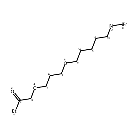 CCC(=O)COCCCOCCCCCNC(C)C